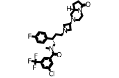 CN(C[C@@H](CCN1CC(N2CCN3C(=O)CC[C@H]3C2)C1)c1ccc(F)cc1)C(=O)c1cc(Cl)cc(C(F)(F)F)c1